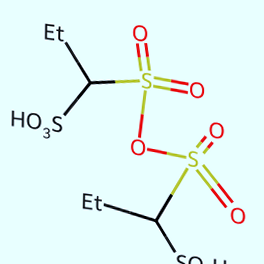 CCC(S(=O)(=O)O)S(=O)(=O)OS(=O)(=O)C(CC)S(=O)(=O)O